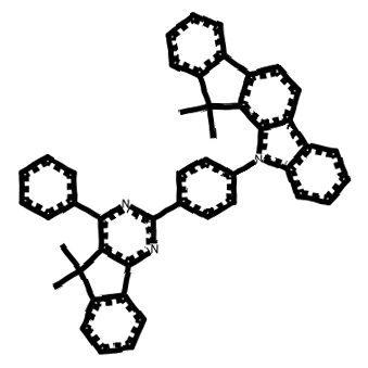 CC1(C)c2ccccc2-c2nc(-c3ccc(-n4c5ccccc5c5ccc6c(c54)C(C)(C)c4ccccc4-6)cc3)nc(-c3ccccc3)c21